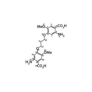 COc1cc(C(=O)O)c(N)cc1OCCCOc1cc(N)c(C(=O)O)cc1OC